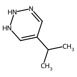 CC(C)C1=CNNN=C1